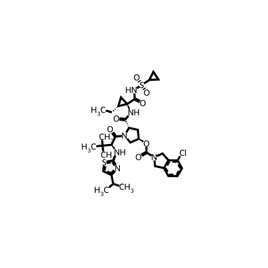 CC[C@@H]1C[C@]1(NC(=O)[C@@H]1C[C@@H](OC(=O)N2Cc3cccc(Cl)c3C2)CN1C(=O)[C@@H](Nc1nc(C(C)C)cs1)C(C)(C)C)C(=O)NS(=O)(=O)C1CC1